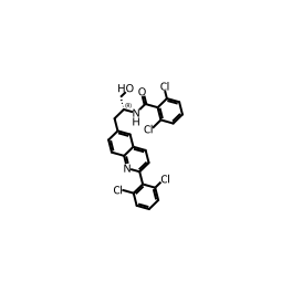 O=C(N[C@@H](CO)Cc1ccc2nc(-c3c(Cl)cccc3Cl)ccc2c1)c1c(Cl)cccc1Cl